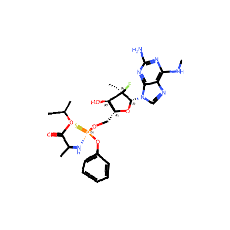 CNc1nc(N)nc2c1ncn2[C@@H]1O[C@H](CO[P@@](=S)(NC(C)C(=O)OC(C)C)Oc2ccccc2)[C@@H](O)[C@@]1(C)F